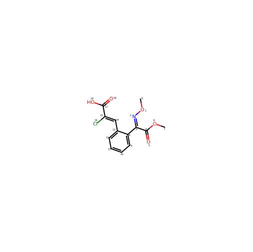 CON=C(C(=O)OC)c1ccccc1C=C(Cl)C(=O)O